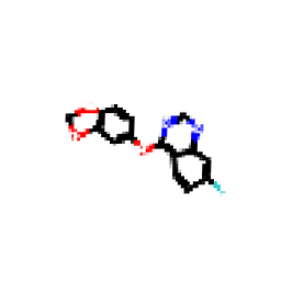 Fc1ccc2c(Oc3ccc4c(c3)OCO4)ncnc2c1